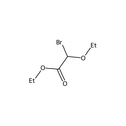 CCOC(=O)C(Br)OCC